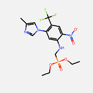 CCOP(=O)(CNc1cc(-n2cnc(C)c2)c(C(F)(F)F)cc1[N+](=O)[O-])OCC